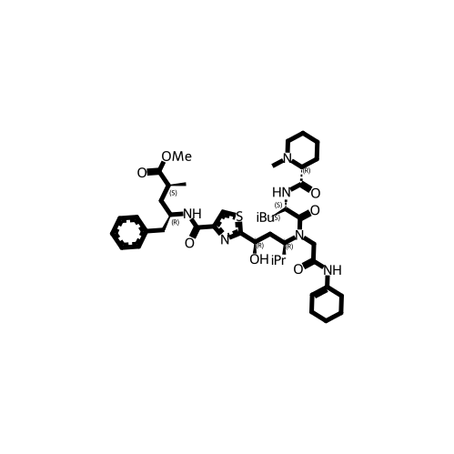 CC[C@H](C)[C@H](NC(=O)[C@H]1CCCCN1C)C(=O)N(CC(=O)NC1=CCCCC1)[C@H](C[C@@H](O)c1nc(C(=O)N[C@@H](Cc2ccccc2)C[C@H](C)C(=O)OC)cs1)C(C)C